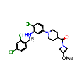 COC1CN(C(=O)C2CCN(c3ccc(Cl)c(N[C@H](C)c4ccc(Cl)cc4Cl)c3)CC2)C1